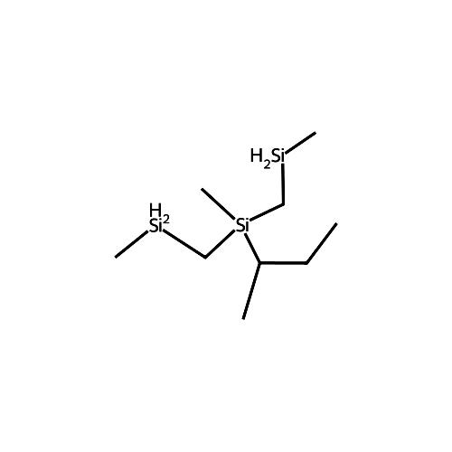 CCC(C)[Si](C)(C[SiH2]C)C[SiH2]C